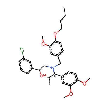 C[CH][C@H](c1ccc(OC)c(OC)c1)N(Cc1ccc(OCCCC)c(OC)c1)CC(O)c1cccc(Cl)c1